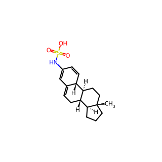 C[C@@]12CCC[C@H]1[C@@H]1CC=C3C=C(NS(=O)(=O)O)C=C[C@@H]3[C@H]1CC2